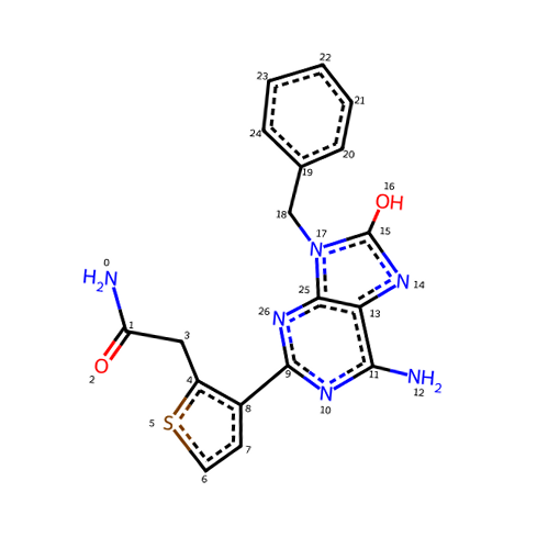 NC(=O)Cc1sccc1-c1nc(N)c2nc(O)n(Cc3ccccc3)c2n1